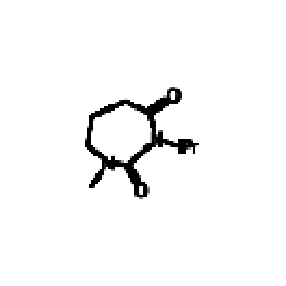 CC(C)N1C(=O)CCCN(C)C1=O